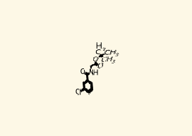 CC(C)(C)OC(=O)CNC(=O)c1cc[c]c(Cl)c1